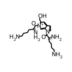 NCCCC[C@H](N)C(=O)n1ccc2cc(CO)[n+](C(=O)[C@@H](N)CCCCN)cc21